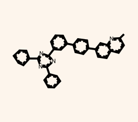 Cc1ccc2ccc(-c3ccc(-c4cccc(-c5nc(-c6ccccc6)nc(-c6ccccc6)n5)c4)cc3)cc2n1